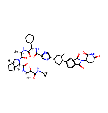 CCC[C@H](NC(=O)[C@@H]1[C@H]2CCC[C@H]2CN1C(=O)[C@@H](NC(=O)[C@@H](NC(=O)c1cnc([C@H]2CCC(c3ccc4c(c3)C(=O)N(C3CCC(=O)NC3=O)C4=O)C(C)C2)cn1)C1CCCCC1)C(C)(C)C)C(O)C(=O)NC1CC1